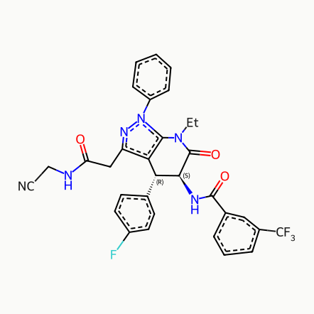 CCN1C(=O)[C@@H](NC(=O)c2cccc(C(F)(F)F)c2)[C@H](c2ccc(F)cc2)c2c(CC(=O)NCC#N)nn(-c3ccccc3)c21